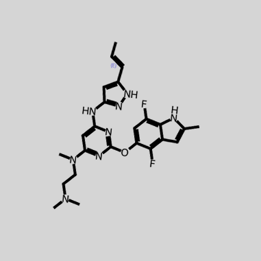 C/C=C/c1cc(Nc2cc(N(C)CCN(C)C)nc(Oc3cc(F)c4[nH]c(C)cc4c3F)n2)n[nH]1